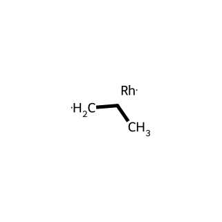 [CH2]CC.[Rh]